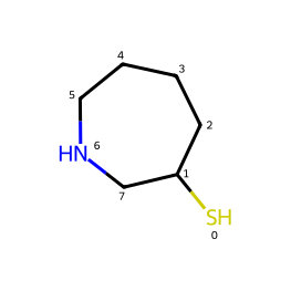 SC1CCCCNC1